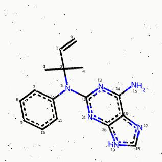 C=CC(C)(C)N(c1ccccc1)c1nc(N)c2nc[nH]c2n1